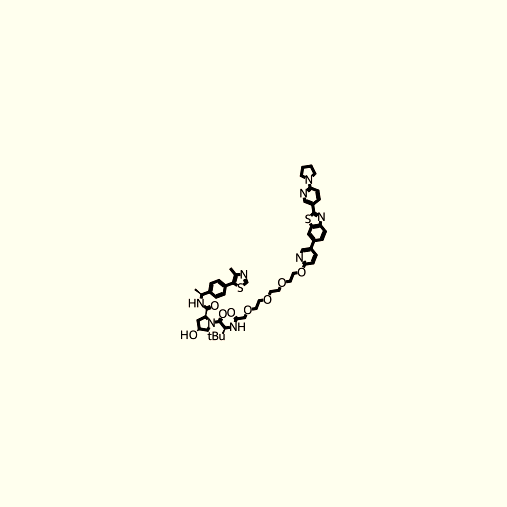 Cc1ncsc1-c1ccc([C@H](C)NC(=O)[C@@H]2C[C@@H](O)CN2C(=O)[C@@H](NC(=O)COCCOCCOCCOc2ccc(-c3ccc4nc(-c5ccc(N6CCCC6)nc5)sc4c3)cn2)C(C)(C)C)cc1